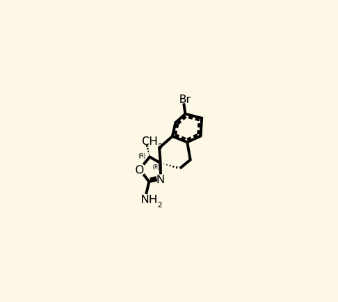 C[C@H]1OC(N)=N[C@@]12CCc1ccc(Br)cc1C2